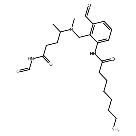 CC(CCC(=O)NC=O)N(C)Cc1c(C=O)cccc1NC(=O)CCCCCCN